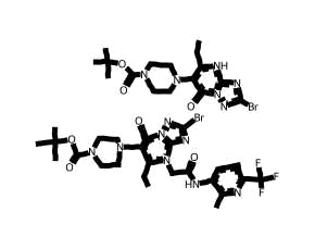 CCc1[nH]c2nc(Br)nn2c(=O)c1N1CCN(C(=O)OC(C)(C)C)CC1.CCc1c(N2CCN(C(=O)OC(C)(C)C)CC2)c(=O)n2nc(Br)nc2n1CC(=O)Nc1ccc(C(F)(F)F)nc1C